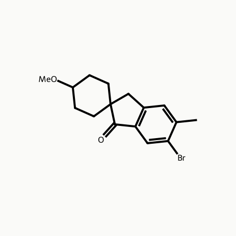 COC1CCC2(CC1)Cc1cc(C)c(Br)cc1C2=O